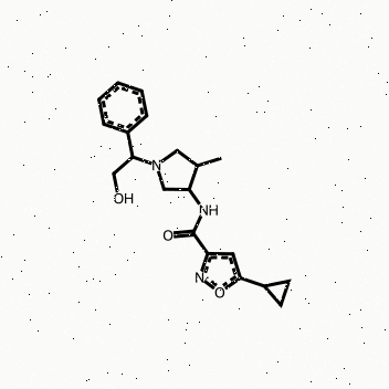 CC1CN(C(CO)c2ccccc2)CC1NC(=O)c1cc(C2CC2)on1